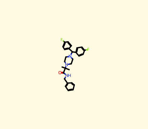 CC(C)(C(=O)NCc1ccccc1)N1CCN(C(c2ccc(F)cc2)c2ccc(F)cc2)CC1